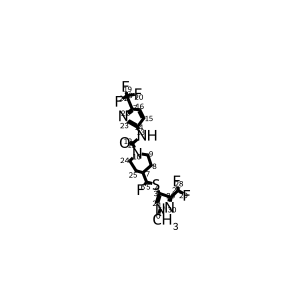 Cn1cc(SC(F)C2CCN(C(=O)Nc3ccc(C(F)(F)F)nc3)CC2)c(C(F)F)n1